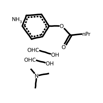 CCCC(=O)Oc1ccccc1.CN(C)C.N.O=CO.O=CO